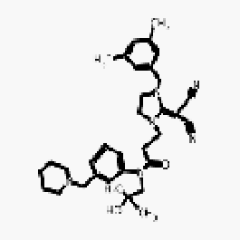 Cc1cc(C)cc(CN2CCN(CCC(=O)N(CC(C)(C)O)c3cccc(CN4CCCCC4)c3)C2=C(C#N)C#N)c1